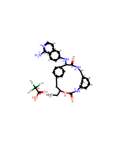 CCC1Cc2ccc(cc2)C(Nc2ccc3c(N)nccc3c2)C(=O)NCc2cccc(c2)NC(=O)O1.O=C(O)C(F)(F)F